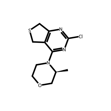 C[C@H]1COCCN1c1nc(Cl)nc2c1CSC2